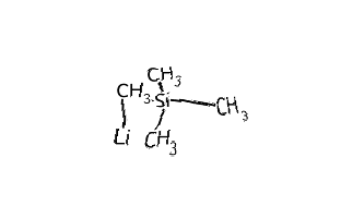 C[Si](C)C.[Li][CH3]